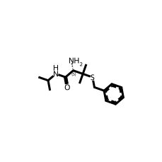 CC(C)NC(=O)[C@H](N)C(C)(C)SCc1ccccc1